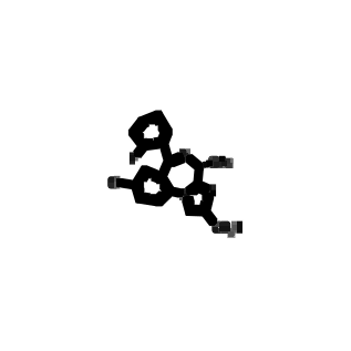 CC(=O)O[C@H]1N=C(c2ccccc2F)c2cc(Cl)ccc2-n2cc(C(=O)O)nc21